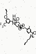 C=CCCCCN(C)C(=O)c1ccc(CCS(=O)(=O)N2CCC3(CC2)N=C(c2cc(OCCC=C)cc(C(F)(F)F)c2)NC3=O)c(C)c1